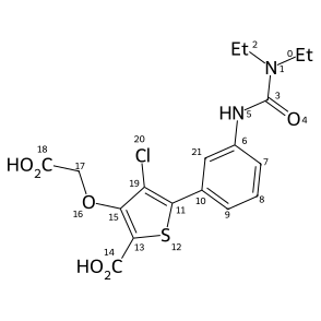 CCN(CC)C(=O)Nc1cccc(-c2sc(C(=O)O)c(OCC(=O)O)c2Cl)c1